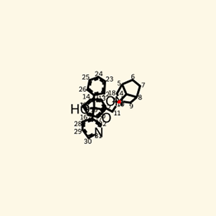 O=C(OCC1C2CCC1CN(Cc1ccccc1)C2)C(O)(c1ccccc1)c1cccnc1